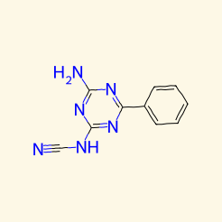 N#CNc1nc(N)nc(-c2ccccc2)n1